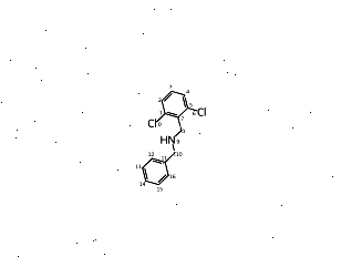 Clc1cccc(Cl)c1CN[CH]c1ccccc1